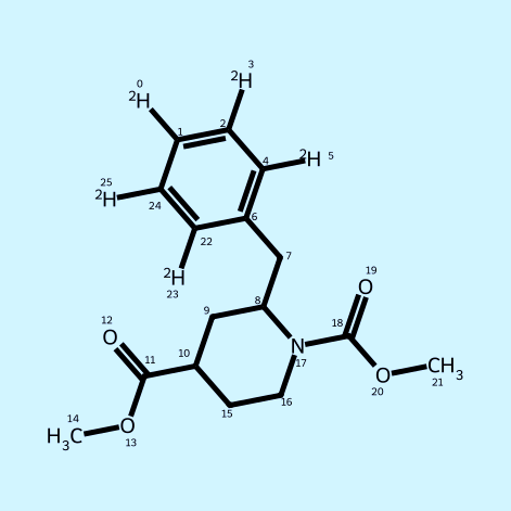 [2H]c1c([2H])c([2H])c(CC2CC(C(=O)OC)CCN2C(=O)OC)c([2H])c1[2H]